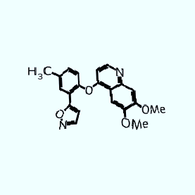 COc1cc2nccc(Oc3ccc(C)cc3-c3ccno3)c2cc1OC